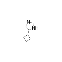 C1CC(C2C[N]CN2)C1